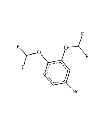 FC(F)Oc1cc(Br)cnc1OC(F)F